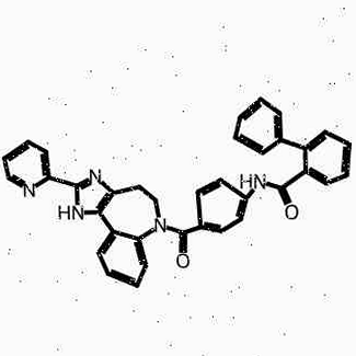 O=C(Nc1ccc(C(=O)N2CCc3nc(-c4ccccn4)[nH]c3-c3ccccc32)cc1)c1ccccc1-c1ccccc1